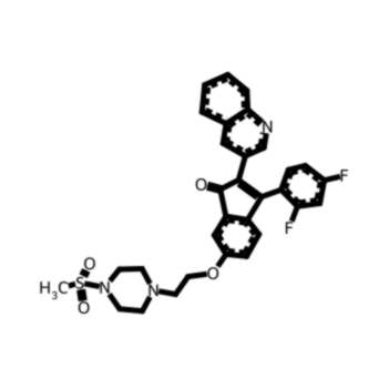 CS(=O)(=O)N1CCN(CCOc2ccc3c(c2)C(=O)C(c2cnc4ccccc4c2)=C3c2ccc(F)cc2F)CC1